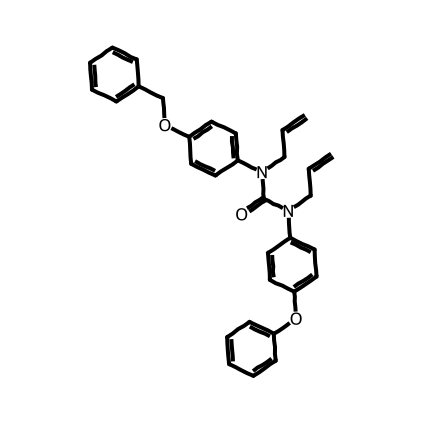 C=CCN(C(=O)N(CC=C)c1ccc(Oc2ccccc2)cc1)c1ccc(OCc2ccccc2)cc1